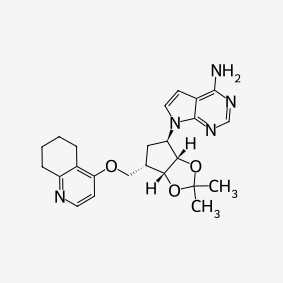 CC1(C)O[C@@H]2[C@H](COc3ccnc4c3CCCC4)C[C@@H](n3ccc4c(N)ncnc43)[C@@H]2O1